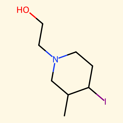 CC1CN(CCO)CCC1I